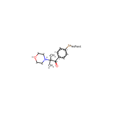 CCCCCSc1ccc(C(=O)C(C)(C)N2CCOCC2)cc1